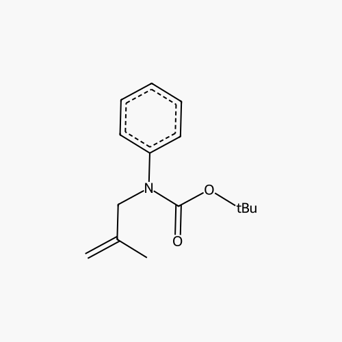 C=C(C)CN(C(=O)OC(C)(C)C)c1ccccc1